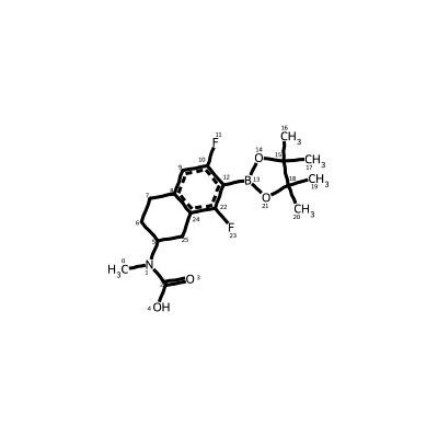 CN(C(=O)O)C1CCc2cc(F)c(B3OC(C)(C)C(C)(C)O3)c(F)c2C1